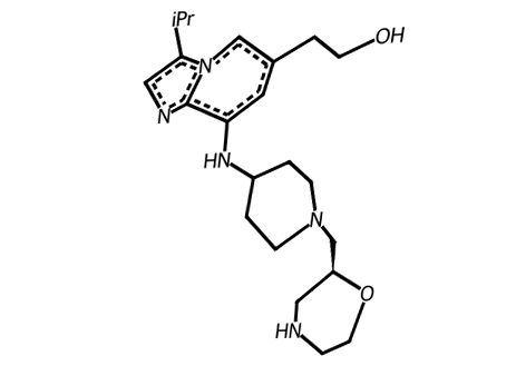 CC(C)c1cnc2c(NC3CCN(C[C@@H]4CNCCO4)CC3)cc(CCO)cn12